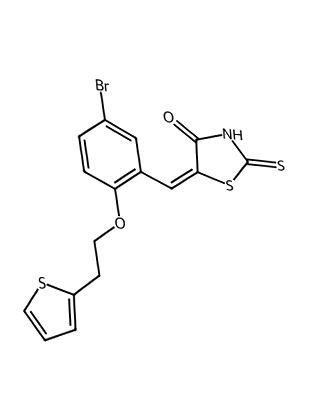 O=C1NC(=S)SC1=Cc1cc(Br)ccc1OCCc1cccs1